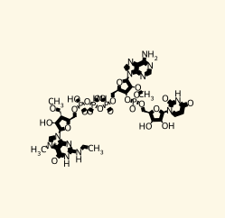 CCNc1nc2c(c(=O)[nH]1)[n+](C)cn2[C@@H]1O[C@H](COP(=O)(O)OP(=O)(O)OP(=O)(O)OC[C@H]2O[C@@H](n3cnc4c(N)ncnc43)[C@H](OC)[C@@H]2OP(=O)([O-])OC[C@H]2O[C@@H](n3ccc(=O)[nH]c3=O)[C@H](O)[C@@H]2O)[C@@H](COC)[C@H]1O